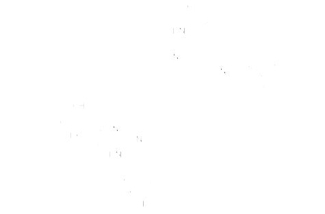 CC(=O)Nc1nc(CCc2ccc(NC(=NC(=O)OC(C)(C)C)NC(=O)OC(C)(C)C)cc2)c(CN2CC[C@H](C(=O)O)C2C)s1